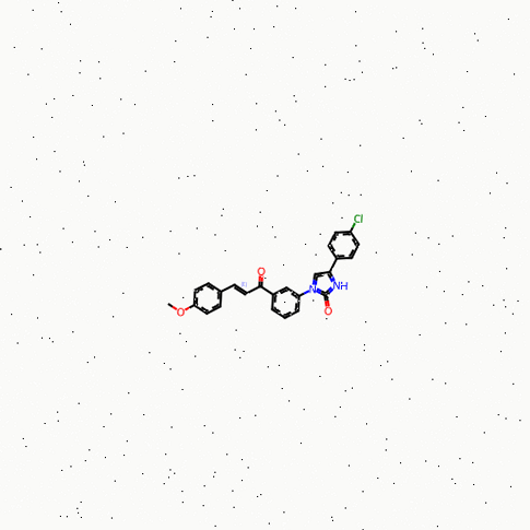 COc1ccc(/C=C/C(=O)c2cccc(-n3cc(-c4ccc(Cl)cc4)[nH]c3=O)c2)cc1